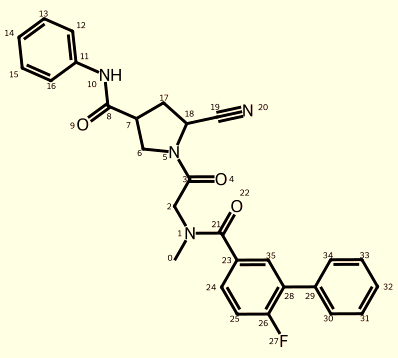 CN(CC(=O)N1CC(C(=O)Nc2ccccc2)CC1C#N)C(=O)c1ccc(F)c(-c2ccccc2)c1